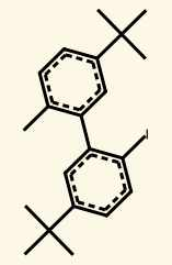 Cc1ccc(C(C)(C)C)cc1-c1cc(C(C)(C)C)ccc1I